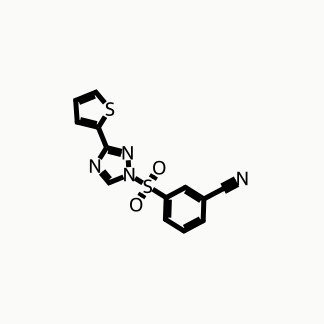 N#Cc1cccc(S(=O)(=O)n2cnc(-c3cccs3)n2)c1